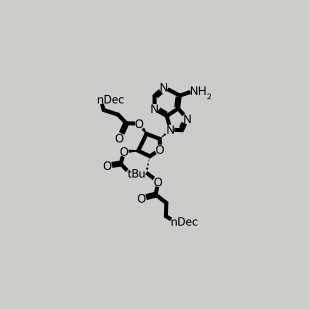 CCCCCCCCCCCCC(=O)OC[C@H]1O[C@@H](n2cnc3c(N)ncnc32)[C@H](OC(=O)CCCCCCCCCCCC)[C@@H]1OC(=O)C(C)(C)C